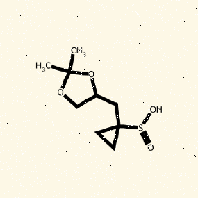 CC1(C)OCC(CC2(S(=O)O)CC2)O1